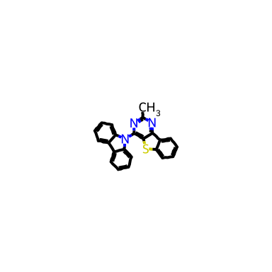 Cc1nc(-n2c3ccccc3c3ccccc32)c2sc3ccccc3c2n1